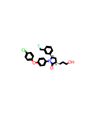 O=C1[C@@H](CCCO)C[C@H](c2cccc(CF)c2)N1c1ccc(Oc2ccc(Cl)cc2)cc1